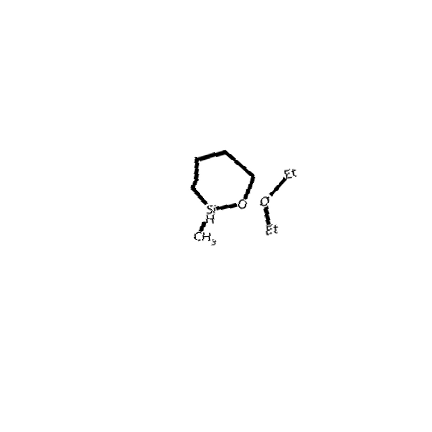 CCOCC.C[SiH]1CCCCO1